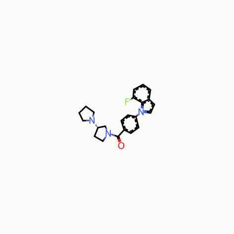 O=C(c1ccc(-n2ccc3cccc(F)c32)cc1)N1CC[C@H](N2CCCC2)C1